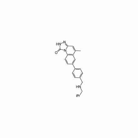 Cc1cc2n[nH]c(=O)n2c2ccc(-c3ccc(CNCC(C)C)cc3)cc12